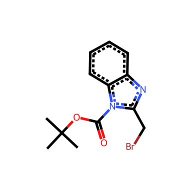 CC(C)(C)OC(=O)n1c(CBr)nc2ccccc21